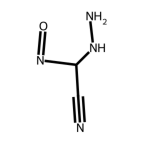 N#CC(N=O)NN